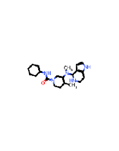 CC1CCN(C(=O)NC2CCCCC2)CC1N(C)C1NCCc2[nH]ccc21